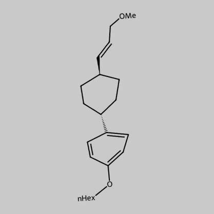 CCCCCCOc1ccc([C@H]2CC[C@H](C=CCOC)CC2)cc1